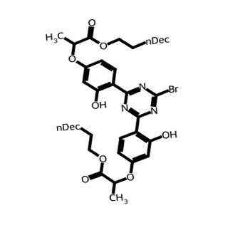 CCCCCCCCCCCCOC(=O)C(C)Oc1ccc(-c2nc(Br)nc(-c3ccc(OC(C)C(=O)OCCCCCCCCCCCC)cc3O)n2)c(O)c1